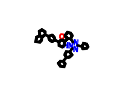 c1ccc(C2=NC(c3cccc4oc5c(-c6ccc(-c7cccc8ccccc78)cc6)cccc5c34)NC(c3ccc(-c4ccccc4)cc3)=N2)cc1